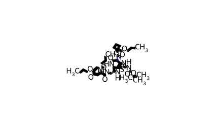 CCCCOC(=O)C1(O/N=C(\C(=O)N[C@@H]2C(=O)N[C@@H]2CNC(=O)c2cc(=O)c(OCCCC)cn2OCCCC)c2csc(NC(=O)OC(C)(C)C)n2)CCC1